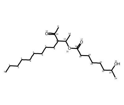 CCCCCCCCCC(C(C)=O)C(C)OC(=O)CCCCCC(C)O